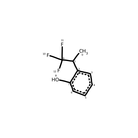 CC(c1ccccc1O)C(F)(F)F